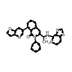 C[C@H](Nc1nccc2scnc12)c1cc2cccc(-c3cnc4ccoc4c3)c2c(=O)n1-c1ccccc1